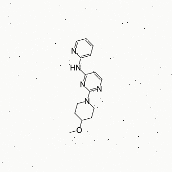 COC1CCN(c2nccc(Nc3ccccn3)n2)CC1